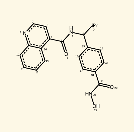 CC(C)C(NC(=O)c1ccnc2ccccc12)c1ccc(C(=O)NO)cc1